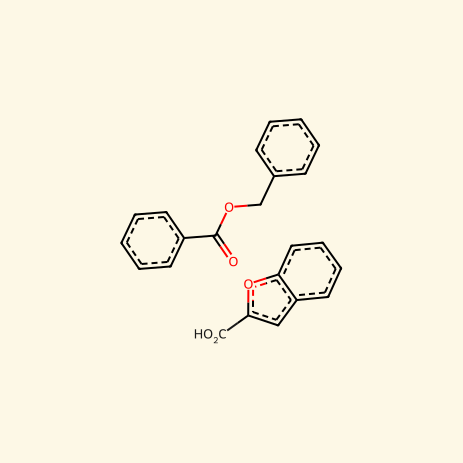 O=C(O)c1cc2ccccc2o1.O=C(OCc1ccccc1)c1ccccc1